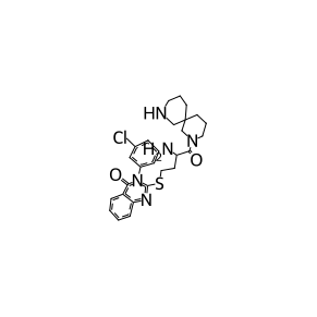 NC(CCSc1nc2ccccc2c(=O)n1-c1cccc(Cl)c1)C(=O)N1CCCC2(CCCNC2)C1